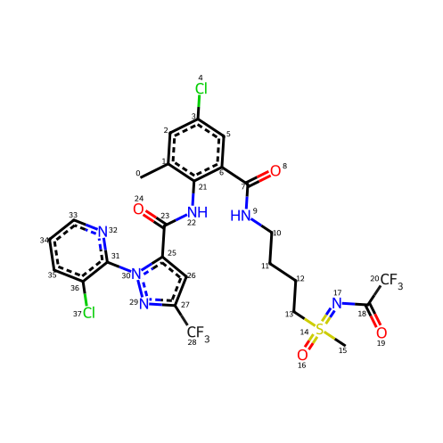 Cc1cc(Cl)cc(C(=O)NCCCCS(C)(=O)=NC(=O)C(F)(F)F)c1NC(=O)c1cc(C(F)(F)F)nn1-c1ncccc1Cl